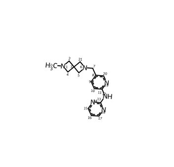 CN1CC2(C1)CN(Cc1ccc(Nc3ncccn3)nc1)C2